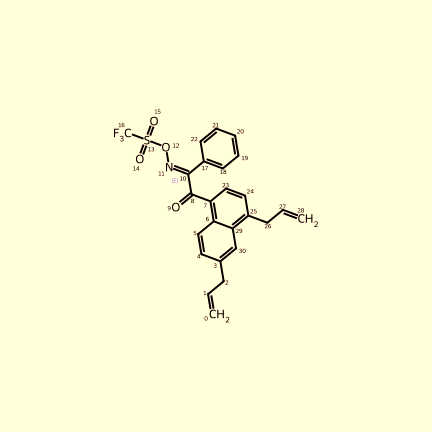 C=CCc1ccc2c(C(=O)/C(=N/OS(=O)(=O)C(F)(F)F)c3ccccc3)ccc(CC=C)c2c1